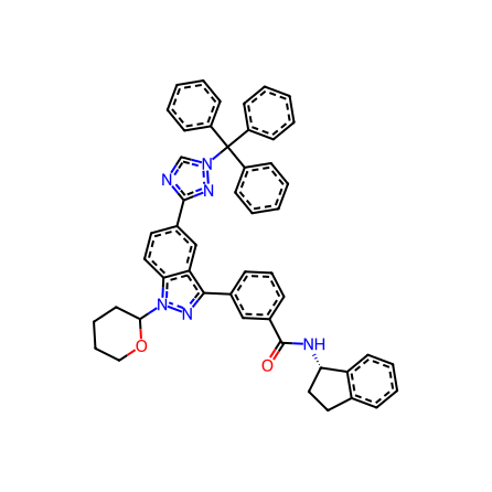 O=C(N[C@H]1CCc2ccccc21)c1cccc(-c2nn(C3CCCCO3)c3ccc(-c4ncn(C(c5ccccc5)(c5ccccc5)c5ccccc5)n4)cc23)c1